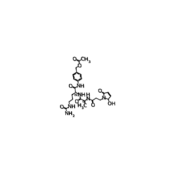 CC(=O)OCc1ccc(NC(=O)[C@H](CCCNC(N)=O)NC(=O)[C@H](C)NC(=O)CCN2C(=O)C=CC2O)cc1